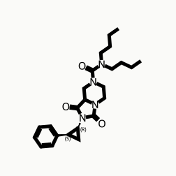 CCCCN(CCCC)C(=O)N1CCN2C(=O)N([C@@H]3C[C@H]3c3ccccc3)C(=O)C2C1